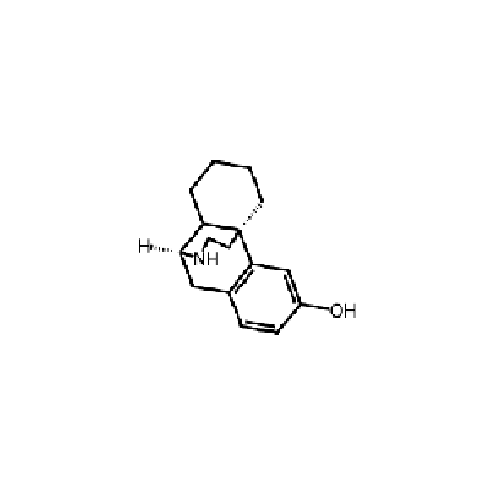 Oc1ccc2c(c1)[C@]13CCCCC1[C@H](C2)NCC3